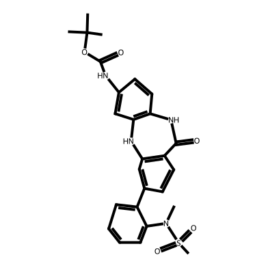 CN(c1ccccc1-c1ccc2c(c1)Nc1cc(NC(=O)OC(C)(C)C)ccc1NC2=O)S(C)(=O)=O